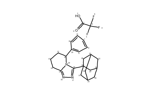 O=C(O)C(F)(F)F.c1ccc(C2CCCc3nnc(C45CC6CC(CC(C6)C4)C5)n32)cc1